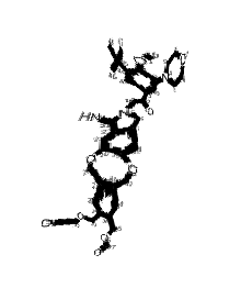 COc1c(N2CCOCC2)cc(C(=O)CN2Cc3cc4c(cc3C2=N)OCc2cc(COC=O)c(COC=O)cc2CO4)cc1C(C)(C)C